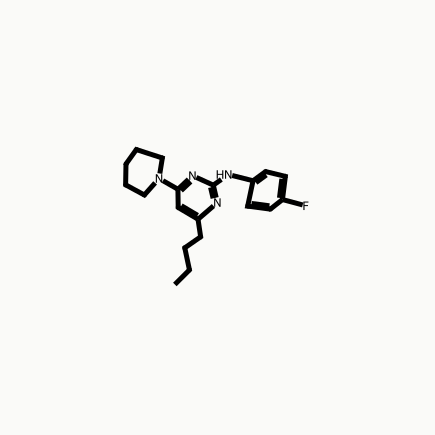 CCCCc1cc(N2CCCCC2)nc(Nc2ccc(F)cc2)n1